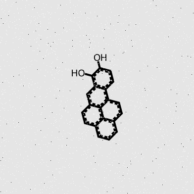 Oc1ccc2c(cc3ccc4cccc5ccc2c3c45)c1O